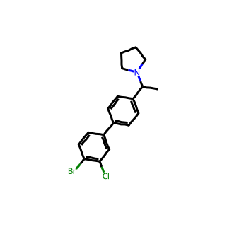 CC(c1ccc(-c2ccc(Br)c(Cl)c2)cc1)N1CCCC1